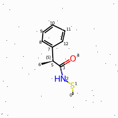 CSNC(=O)[C@@H](C)c1ccccc1